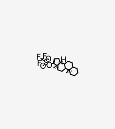 C[C@]12CCCCC1CCC1C2CC[C@]2(C)C(OS(=O)(=O)C(F)(F)F)=CC[C@H]12